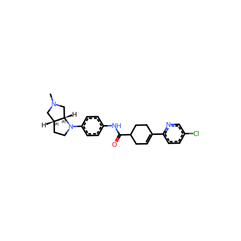 CN1C[C@H]2CCN(c3ccc(NC(=O)C4CC=C(c5ccc(Cl)cn5)CC4)cc3)[C@H]2C1